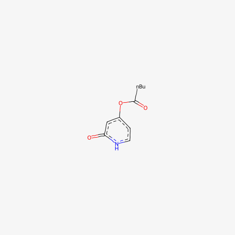 CCCCC(=O)Oc1cc[nH]c(=O)c1